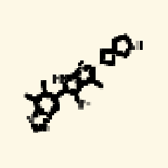 Cc1c(-c2[nH]c3sc([C@H]4C[C@]5(CCNC5)C4)c(C)c3c2C(C)C)cn2ncnc2c1C